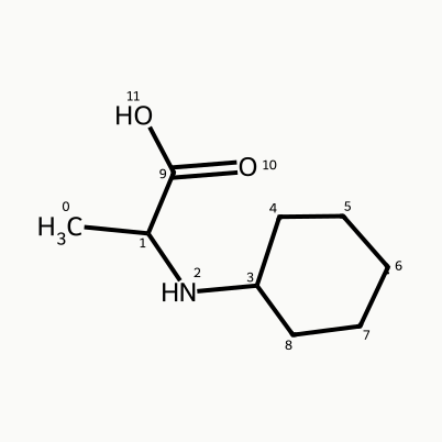 CC(NC1CC[CH]CC1)C(=O)O